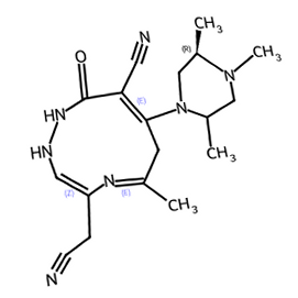 C/C1=N\C(CC#N)=C/NNC(=O)/C(C#N)=C(/N2C[C@@H](C)N(C)CC2C)C1